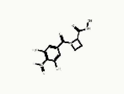 Cc1cc(C(=O)N2CC[C@@H]2C(=O)NO)cc(C)c1[N+](=O)[O-]